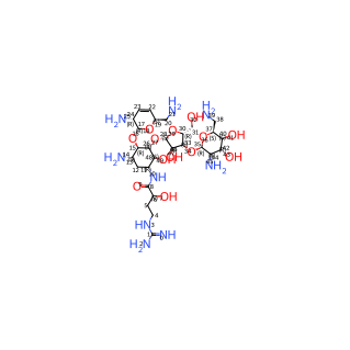 N=C(N)NCC[C@H](O)C(=O)N[C@@H]1C[C@H](N)[C@@H](O[C@H]2O[C@H](CN)C=C[C@H]2N)[C@H](O[C@@H]2O[C@H](CO)[C@@H](O[C@H]3O[C@@H](CN)[C@@H](O)[C@H](O)[C@H]3N)[C@H]2O)[C@H]1O